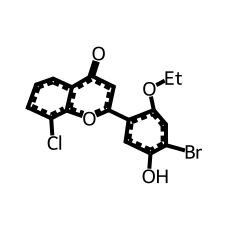 CCOc1cc(Br)c(O)cc1-c1cc(=O)c2cccc(Cl)c2o1